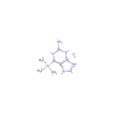 C[N+](C)(C)c1nc(N)nc2[nH]cnc12.[Cl-]